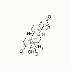 C[C@]12CCC(=O)C=C1CC[C@@H]1[C@@H]2CC[C@@]2(C)[C@H]1CC=C(Cl)C2(O)CCl